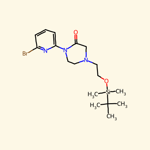 CC(C)(C)[Si](C)(C)OCCN1CCN(c2cccc(Br)n2)C(=O)C1